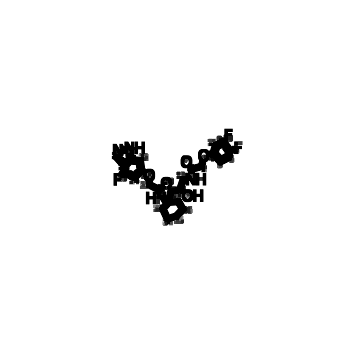 O=C(COc1ccc(F)c(F)c1)NC[C@@H](O)CC1(NC(=O)COc2cc(F)c3cn[nH]c3c2)CCCCC1